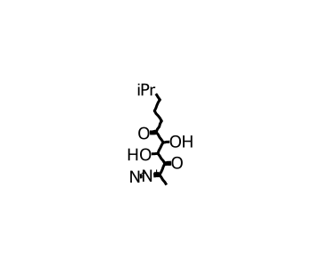 CC(=[N+]=[N-])C(=O)C(O)C(O)C(=O)CCCC(C)C